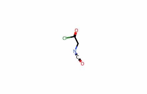 O=C=NCC(=O)Cl